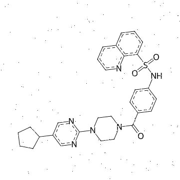 O=C(c1ccc(NS(=O)(=O)c2cccc3cccnc23)cc1)N1CCN(c2ncc(C3CCCC3)cn2)CC1